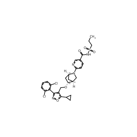 CCCS(=O)(=O)NC(=O)c1ccc(N2C[C@@H]3C[C@H]2C[C@H]3OCc2c(-c3c(Cl)cccc3Cl)noc2C2CC2)nc1